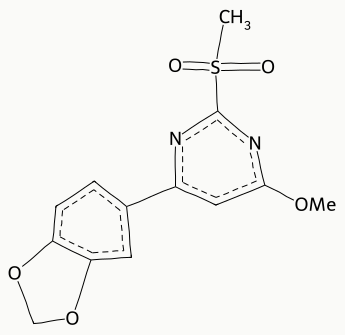 COc1cc(-c2ccc3c(c2)OCO3)nc(S(C)(=O)=O)n1